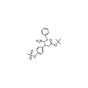 CC(C)(C)OC(=O)CC(c1ccc(OS(C)(=O)=O)cc1)C(N)Cc1ccccc1